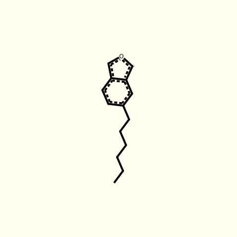 CCCCCCc1ccc2co[c]c2c1